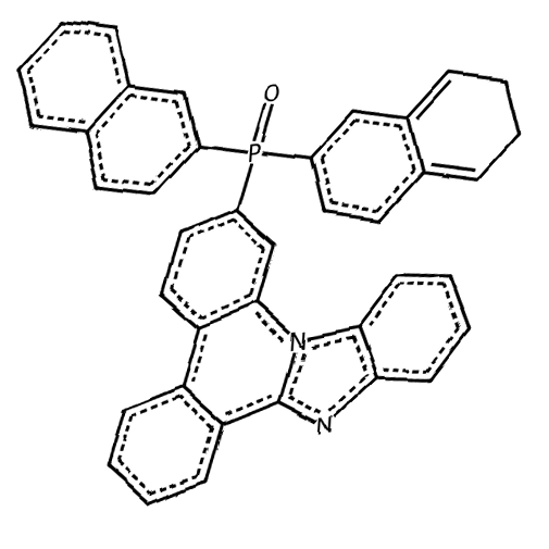 O=P(c1ccc2c(c1)=CCCC=2)(c1ccc2ccccc2c1)c1ccc2c3ccccc3c3nc4ccccc4n3c2c1